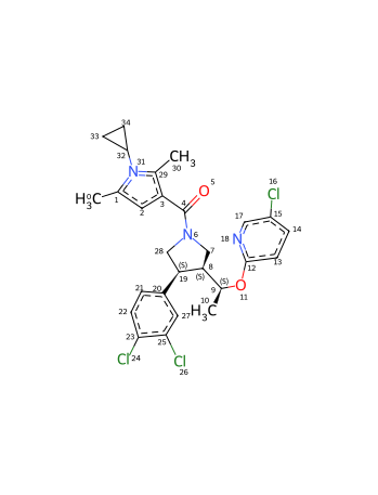 Cc1cc(C(=O)N2C[C@@H]([C@H](C)Oc3ccc(Cl)cn3)[C@@H](c3ccc(Cl)c(Cl)c3)C2)c(C)n1C1CC1